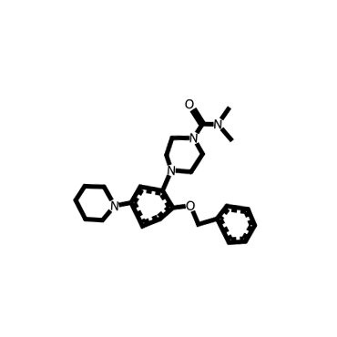 CN(C)C(=O)N1CCN(c2cc(N3CCCCC3)ccc2OCc2ccccc2)CC1